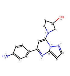 Nc1ccc(-c2cc(N3CCC(O)C3)n3nccc3n2)cc1